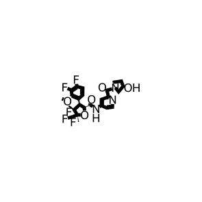 COc1c([C@H]2[C@H](C(=O)Nc3ccnc(C(=O)N4CC[C@@H](O)C4)c3)O[C@@](C)(C(F)(F)F)[C@H]2C)ccc(F)c1F